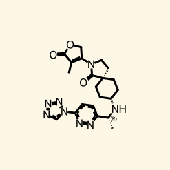 CC1=C(N2CC[C@]3(CC[C@@H](N[C@H](C)c4ccc(-n5cnnn5)nn4)CC3)C2=O)COC1=O